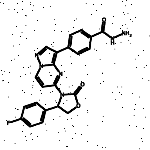 NNC(=O)c1ccc(-c2cnn3ccc(N4C(=O)OCC4c4ccc(F)cc4)nc23)cc1